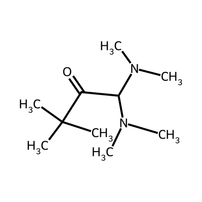 CN(C)C(C(=O)C(C)(C)C)N(C)C